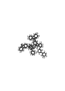 c1ccc(-c2cccc(-c3cccc4c3oc3c(-c5nc(-c6ccccc6)nc(-c6ccc7sc8ccccc8c7c6)n5)cc(-n5c6ccccc6c6ccccc65)cc34)c2)cc1